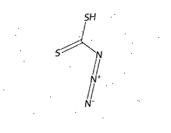 [N-]=[N+]=NC(=S)S